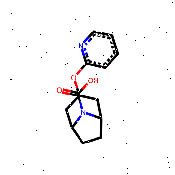 O=C(O)N1C2CCC1CC(Oc1ccccn1)C2